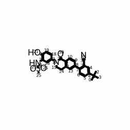 CC(C)(C)c1ccc(-c2ccc3c(c2)CCN(c2ccc(O)c(NS(C)(=O)=O)c2)C3=O)c(C#N)c1